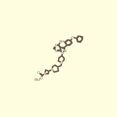 CC(C)(C)OC(=O)N1CC(N2CCC(CN3CCC(n4nc(-c5ccc(Oc6ccccc6)cc5)c5c(N)ncnc54)CC3)CC2)C1